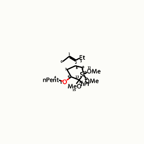 CC=CCC.CCCCCOC1CCC[Si](OC)(OC)C1(CCC)OC